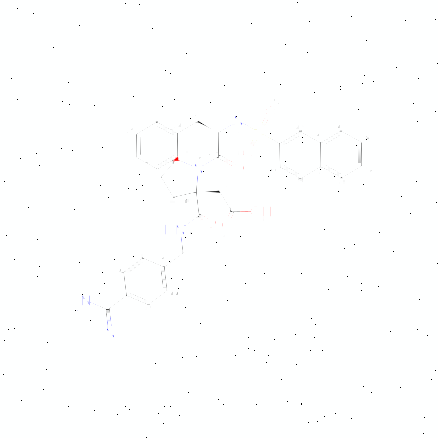 N=C(N)c1ccc(CNC(=O)[C@]2(CC(=O)O)CCCN2C(=O)[C@@H](Cc2ccccc2)NS(=O)(=O)c2ccc3ccccc3c2)cc1